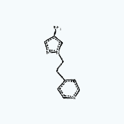 Nc1cnn(CCc2ccncc2)c1